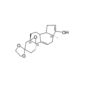 C[C@]12CC=C3C(CC[C@]45CC6(CC[C@]34O5)OCCO6)C1CC=C2O